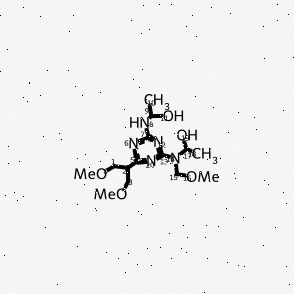 COCC(COC)c1nc(NC(C)O)nc(N(COC)C(C)O)n1